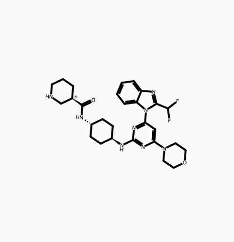 O=C(N[C@H]1CC[C@H](Nc2nc(N3CCOCC3)cc(-n3c(C(F)F)nc4ccccc43)n2)CC1)[C@@H]1CCCNC1